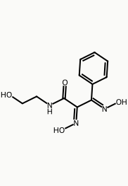 O=C(NCCO)C(=N\O)/C(=N/O)c1ccccc1